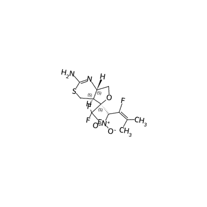 CC(C)=C(F)C([N+](=O)[O-])[C@@]1(C(F)(F)F)OC[C@H]2N=C(N)SC[C@@H]21